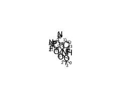 CC(C)(C)OC(=O)N[C@@]1(c2ccccc2F)COC(C(C)(F)F)[C@H]1CC(C#N)C#N